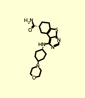 NC(=O)[C@@H]1CCc2sc3ncnc(N[C@H]4CC[C@H](N5CCOCC5)CC4)c3c2C1